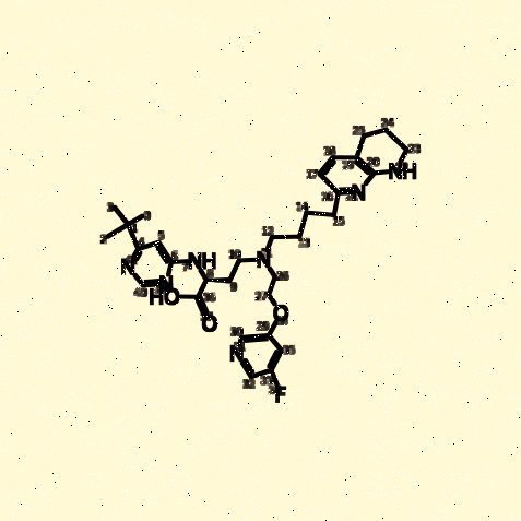 CC(C)(C)c1cc(N[C@@H](CCN(CCCCc2ccc3c(n2)NCCC3)CCOc2cncc(F)c2)C(=O)O)ncn1